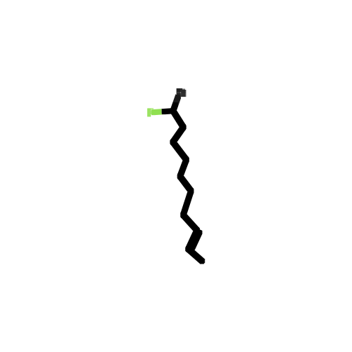 C/C=C/CCCCCCC(F)CC